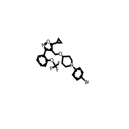 FC(F)(F)Oc1ccccc1-c1noc(C2CC2)c1COC1CCN(c2ccc(Br)cc2)CC1